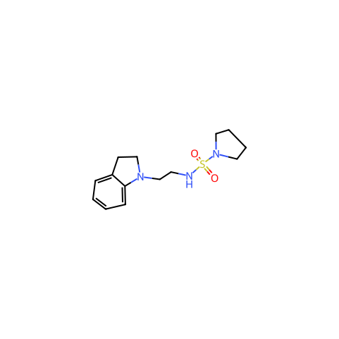 O=S(=O)(NCCN1CCc2ccccc21)N1CCCC1